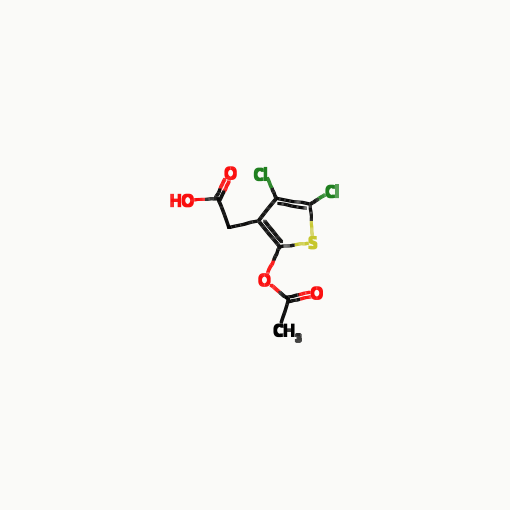 CC(=O)Oc1sc(Cl)c(Cl)c1CC(=O)O